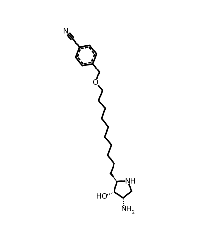 N#Cc1ccc(COCCCCCCCCCC[C@H]2NC[C@H](N)[C@@H]2O)cc1